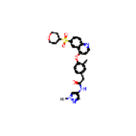 Cc1cc(CC(=O)Nc2cnn(C(C)(C)C)c2)ccc1Oc1ccnc2ccc(S(=O)(=O)C3CCOCC3)cc12